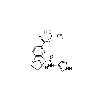 C[C@@H](NC(=O)c1ccc2c(n1)N(C(=O)Nc1cc[nH]n1)[C@H]1CCN2C1)C(F)(F)F